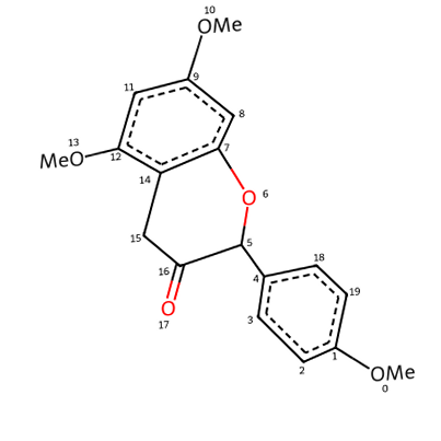 COc1ccc(C2Oc3cc(OC)cc(OC)c3CC2=O)cc1